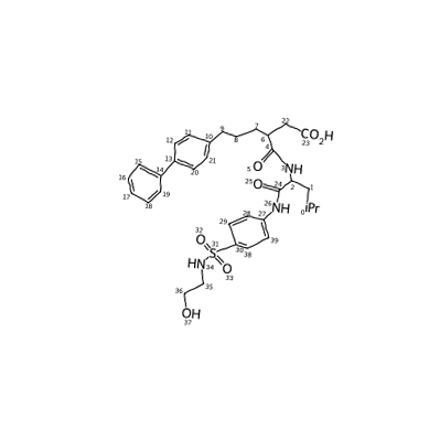 CC(C)CC(NC(=O)C(CCCc1ccc(-c2ccccc2)cc1)CC(=O)O)C(=O)Nc1ccc(S(=O)(=O)NCCO)cc1